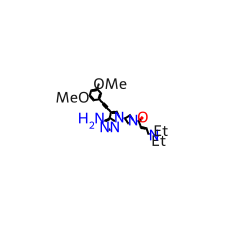 CCN(CC)CC=CC(=O)N1CC(n2cc(C#Cc3cc(OC)cc(OC)c3)c3c(N)ncnc32)C1